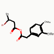 CCC(Br)[CH]C(=O)OC(=O)Cc1ccc(OC)c(OC)c1